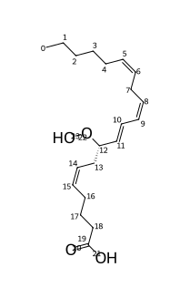 CCCCC/C=C\C/C=C\C=C\[C@H](C/C=C\CCCC(=O)O)OO